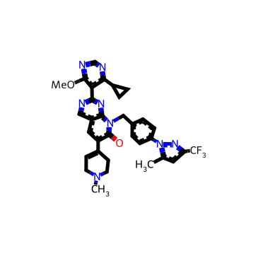 COc1ncnc(C2CC2)c1-c1ncc2cc(C3=CCN(C)CC3)c(=O)n(Cc3ccc(-n4nc(C(F)(F)F)cc4C)cc3)c2n1